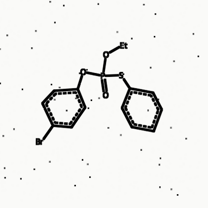 CCOP(=O)(Oc1ccc(Br)cc1)Sc1ccccc1